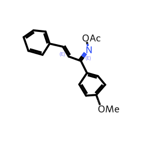 COc1ccc(C(/C=C/c2ccccc2)=N/OC(C)=O)cc1